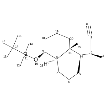 C#C[C@@H](C)[C@H]1CCC[C@H]2[C@@H](O[Si](C)(C)C(C)(C)C)CCC[C@]12C